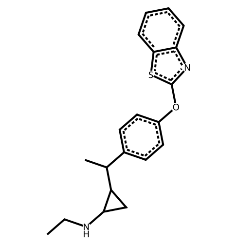 CCNC1CC1C(C)c1ccc(Oc2nc3ccccc3s2)cc1